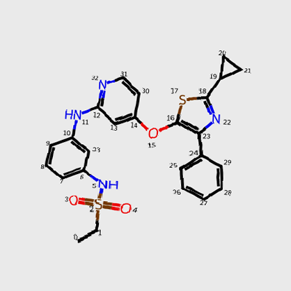 CCS(=O)(=O)Nc1cccc(Nc2cc(Oc3sc(C4CC4)nc3-c3ccccc3)ccn2)c1